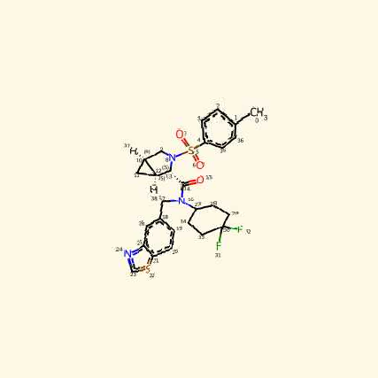 Cc1ccc(S(=O)(=O)N2C[C@@H]3C[C@@H]3[C@H]2C(=O)N(Cc2ccc3scnc3c2)C2CCC(F)(F)CC2)cc1